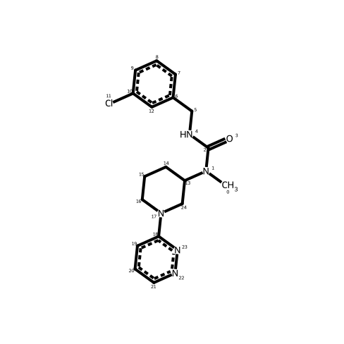 CN(C(=O)NCc1cccc(Cl)c1)C1CCCN(c2cccnn2)C1